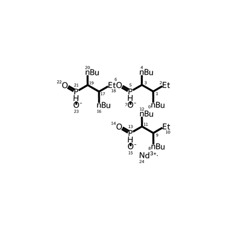 CCCCC(CC)C(CCCC)[PH](=O)[O-].CCCCC(CC)C(CCCC)[PH](=O)[O-].CCCCC(CC)C(CCCC)[PH](=O)[O-].[Nd+3]